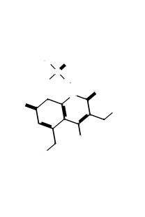 CCC1=CC(=O)Cc2oc(=O)c(CC)c(C)c21.CP(=O)(O)O